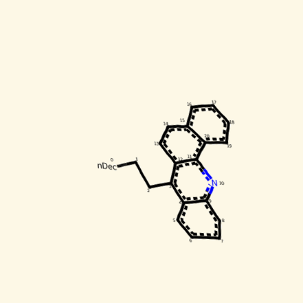 CCCCCCCCCCCCc1c2ccccc2nc2c1ccc1ccccc12